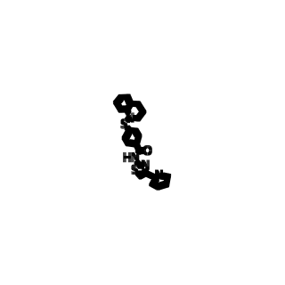 O=C(Nc1nc(-c2ccccn2)cs1)c1ccc(SN2CCCc3ccccc32)cc1